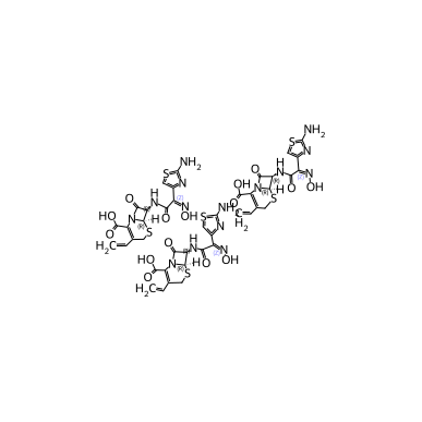 C=CC1=C(C(=O)O)N2C(=O)[C@@H](NC(=O)/C(=N\O)c3csc(N)n3)[C@H]2SC1.C=CC1=C(C(=O)O)N2C(=O)[C@@H](NC(=O)/C(=N\O)c3csc(N)n3)[C@H]2SC1.C=CC1=C(C(=O)O)N2C(=O)[C@@H](NC(=O)/C(=N\O)c3csc(N)n3)[C@H]2SC1